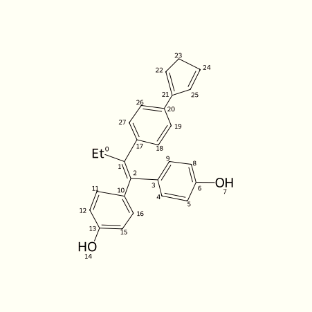 CCC(=C(c1ccc(O)cc1)c1ccc(O)cc1)c1ccc(C2=CCC=C2)cc1